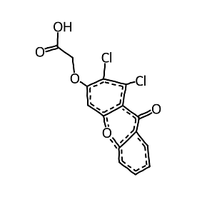 O=C(O)COc1cc2oc3ccccc3c(=O)c2c(Cl)c1Cl